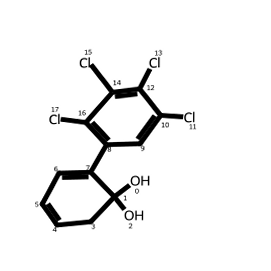 OC1(O)CC=CC=C1c1cc(Cl)c(Cl)c(Cl)c1Cl